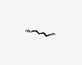 C[C]CCCCCCCCCC